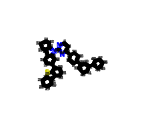 C1=CC(c2ccnc(-n3c4ccccc4c4ccc(-c5cccc6c5sc5ccccc56)cc43)n2)CC=C1c1cccc(-c2ccccc2)c1